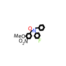 COc1cc(C(=O)N(Cc2ccccc2)c2ccc(F)cc2)ccc1[N+](=O)[O-]